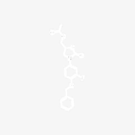 CC(=O)OCC1CN(c2ccc(OCc3ccccc3)c(F)c2)C(=O)O1